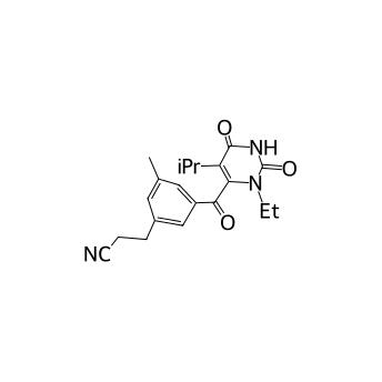 CCn1c(C(=O)c2cc(C)cc(CCC#N)c2)c(C(C)C)c(=O)[nH]c1=O